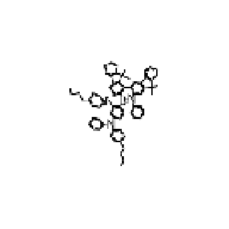 CCCCc1ccc(N(c2ccccc2)c2ccc3c(c2)N(c2ccc(CCCC)cc2)c2cc4c(c5c2B3N(c2ccccc2)c2cc3c(cc2-5)-c2ccccc2C3(C)C)C(C)(C)c2ccccc2-4)cc1